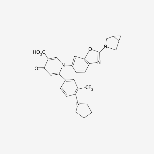 O=C(O)c1cn(-c2ccc3nc(N4CC5CC5C4)oc3c2)c(-c2ccc(N3CCCC3)c(C(F)(F)F)c2)cc1=O